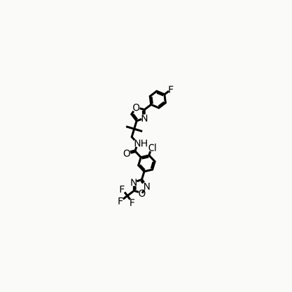 CC(C)(CNC(=O)c1cc(-c2noc(C(F)(F)F)n2)ccc1Cl)c1coc(-c2ccc(F)cc2)n1